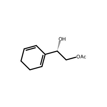 CC(=O)OC[C@@H](O)C1=CCCC=C1